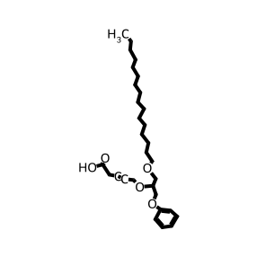 CCCCCCCCCCCCCCCCOCC(COc1ccccc1)OCCCCC(=O)O